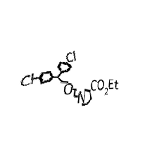 CCOC(=O)C1CCCN(CCOCCC(c2ccc(Cl)cc2)c2ccc(Cl)cc2)C1